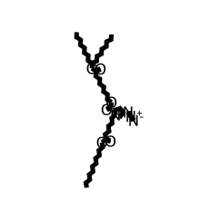 CCCCCCCCCCCOC(=O)CCCCCN1C[C@H](N=[N+]=[N-])C[C@H]1C(=O)OCCCCCCCC(=O)OC(CCCCCCCC)CCCCCCCC